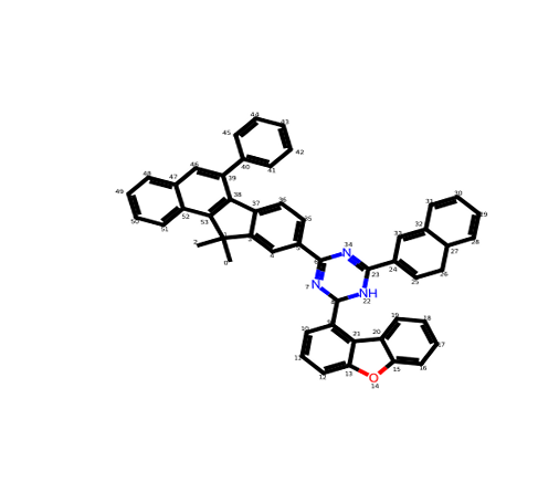 CC1(C)c2cc(C3=NC(c4cccc5oc6ccccc6c45)NC(C4=CCC5C=CC=CC5=C4)=N3)ccc2-c2c(-c3ccccc3)cc3ccccc3c21